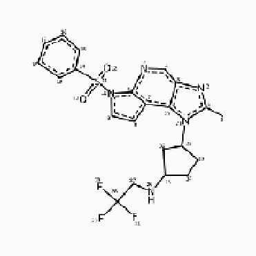 Cc1nc2cnc3c(ccn3S(=O)(=O)c3ccccc3)c2n1C1CCC(NCC(F)(F)F)C1